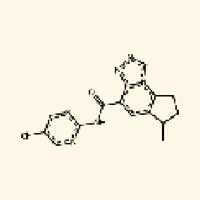 CC1CCc2c1cc(C(=O)Nc1ncc(Cl)cn1)c1nncn21